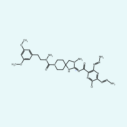 COc1cc(CCN(N)C(=O)N2CCC3(CC2)CN(N)/C(=N\C(=O)c2nc(Cl)c(N=NN)nc2N=NN)N3)cc(OC)c1